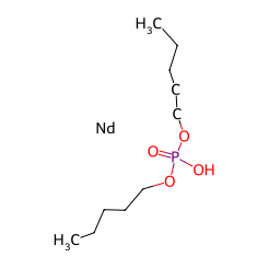 CCCCCOP(=O)(O)OCCCCC.[Nd]